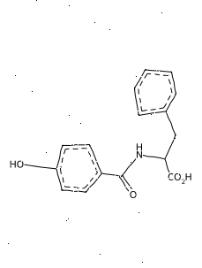 O=C(NC(Cc1ccccc1)C(=O)O)c1ccc(O)cc1